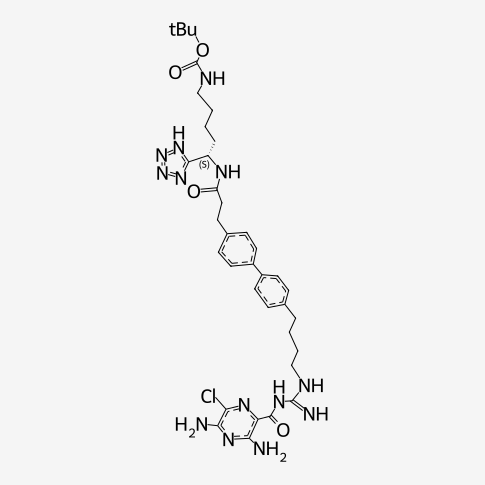 CC(C)(C)OC(=O)NCCCC[C@H](NC(=O)CCc1ccc(-c2ccc(CCCCNC(=N)NC(=O)c3nc(Cl)c(N)nc3N)cc2)cc1)c1nnn[nH]1